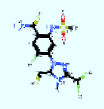 CCS(=O)(=O)Nc1cc(N2N=C(C(F)F)N(C)C2C=S)c(F)cc1C(N)=S